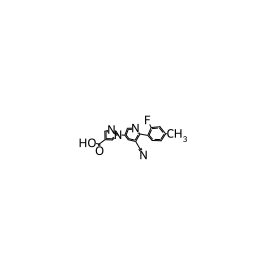 Cc1ccc(-c2ncc(-n3cc(C(=O)O)cn3)cc2C#N)c(F)c1